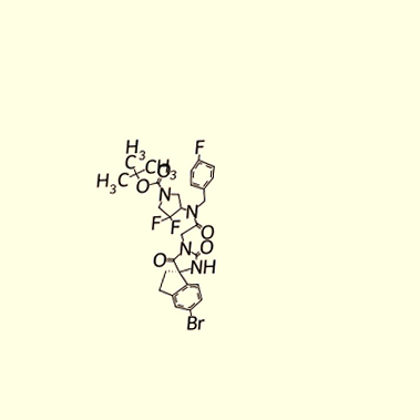 CC(C)(C)OC(=O)N1CC(N(Cc2ccc(F)cc2)C(=O)CN2C(=O)N[C@]3(CCc4cc(Br)ccc43)C2=O)C(F)(F)C1